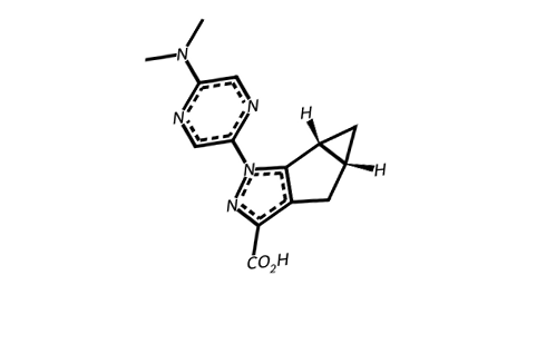 CN(C)c1cnc(-n2nc(C(=O)O)c3c2[C@@H]2C[C@@H]2C3)cn1